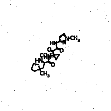 CCOC(=O)NC(CC1(C)CCCC1)C(=O)NC1(C(=O)C(=O)Nc2ccn(C)n2)CC1